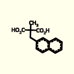 CC(Cc1ccc2ccccc2c1)(C(=O)O)C(=O)O